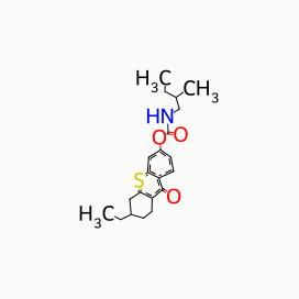 CCC(C)CNC(=O)Oc1ccc2c(=O)c3c(sc2c1)CC(CC)CC3